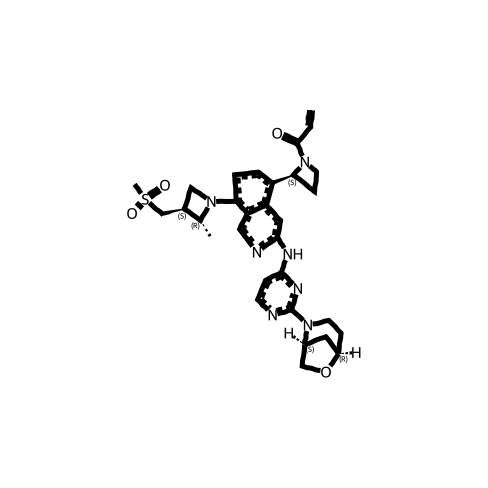 C=CC(=O)N1CC[C@H]1c1ccc(N2C[C@H](CS(C)(=O)=O)[C@H]2C)c2cnc(Nc3ccnc(N4CC[C@@H]5C[C@H]4CO5)n3)cc12